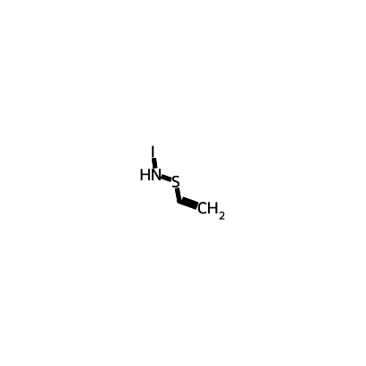 C=CSNI